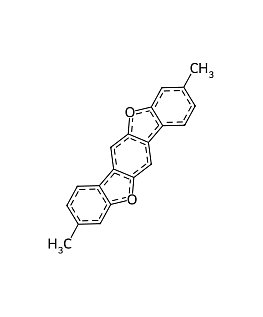 Cc1ccc2c(c1)oc1cc3c(cc12)oc1cc(C)ccc13